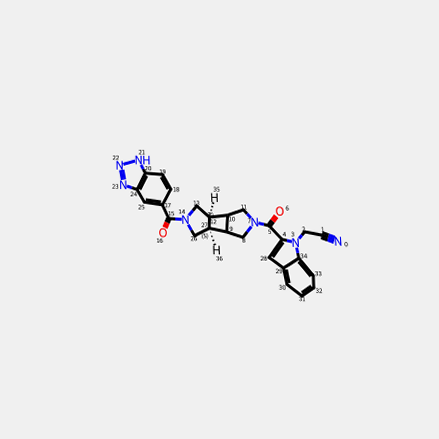 N#CCn1c(C(=O)N2CC3C(C2)[C@@H]2CN(C(=O)c4ccc5[nH]nnc5c4)C[C@H]32)cc2ccccc21